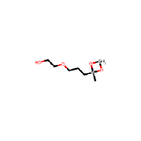 C[Si]1(CCCOCCO)O[SiH2]O1